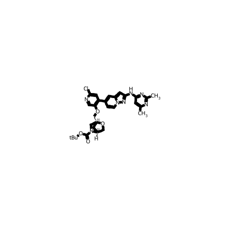 Cc1cc(Nc2cc3cc(-c4cc(Cl)ncc4OC[C@@]45C[C@@H](CO4)N(C(=O)OC(C)(C)C)C5)ccn3n2)nc(C)n1